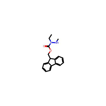 CCN(NC)C(=O)OCC1c2ccccc2-c2ccccc21